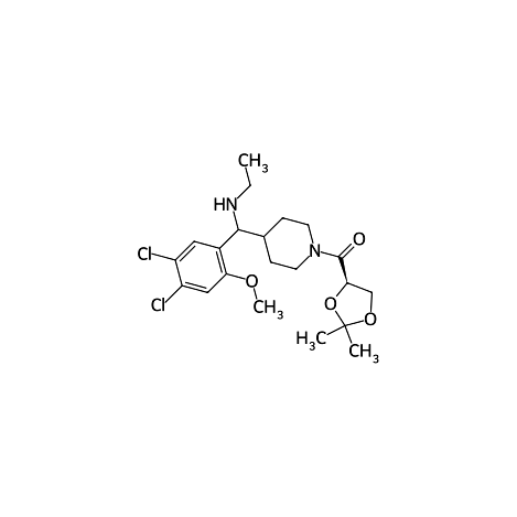 CCNC(c1cc(Cl)c(Cl)cc1OC)C1CCN(C(=O)[C@H]2COC(C)(C)O2)CC1